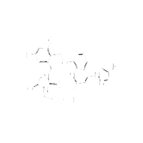 Cc1cc(-n2cc(F)cn2)c2cccc(OCc3c(Cl)cc(F)cc3[C@H](C)N3CC(=O)N(CC(=O)O)C3=O)c2n1